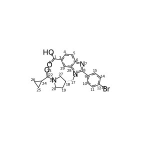 O=C(O)c1ccc2nc(-c3ccc(Br)cc3)n(C[C@@H]3CCN(C(=O)C4CC4)C3)c2c1